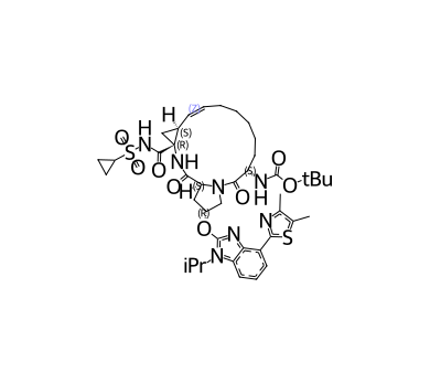 Cc1nc(-c2cccc3c2nc(O[C@@H]2C[C@H]4C(=O)N[C@]5(C(=O)NS(=O)(=O)C6CC6)C[C@H]5/C=C\CCCCC[C@H](NC(=O)OC(C)(C)C)C(=O)N4C2)n3C(C)C)sc1C